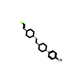 N#Cc1ccc([C@H]2CC[C@H](CC[C@H]3CC[C@H](C=CF)CC3)CC2)cc1